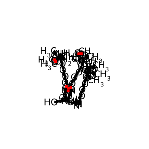 C=C[C@H]1O[C@](CO)(COCCOCCOCCOCCn2cc(COCC(COCc3cn(CCOCCOCCOCCOC[C@@]45CO[C@H](O4)[C@H](NC(C)=O)[C@@H](OC(C)=O)[C@H]5OC(C)=O)nn3)(COCc3cn(CCOCCOCCOCCOC[C@@]45CO[C@@H](O4)[C@H](NC(C)=O)[C@@H](OC(C)=O)[C@H]5OC(C)=O)nn3)NC(=O)CCCO)nn2)[C@H](OC(C)=O)[C@H](OC(C)=O)[C@H]1NC(C)=O